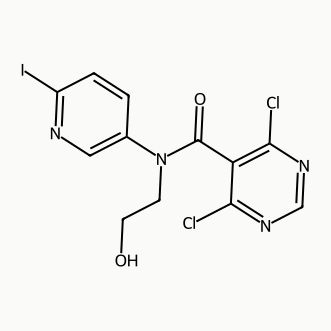 O=C(c1c(Cl)ncnc1Cl)N(CCO)c1ccc(I)nc1